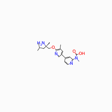 Cc1cc(-c2ccnc(N(C)C(=O)O)c2)cnc1OC[C@@](C)(N)CC(C)C